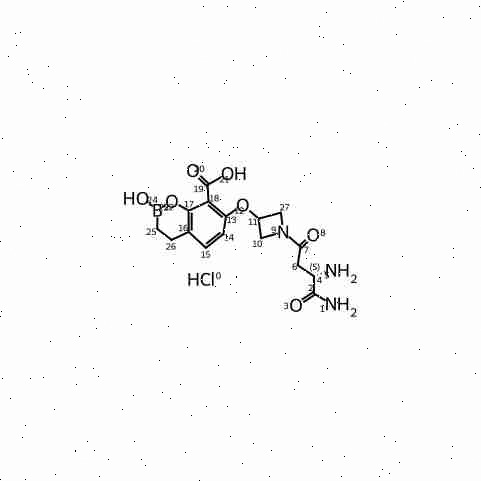 Cl.NC(=O)[C@@H](N)CC(=O)N1CC(Oc2ccc3c(c2C(=O)O)OB(O)CC3)C1